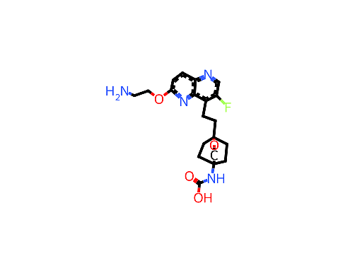 NCCOc1ccc2ncc(F)c(CCC34CCC(NC(=O)O)(CC3)CO4)c2n1